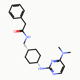 CN(C)c1ccnc(N[C@H]2CC[C@@H](CNC(=O)Cc3ccccc3)CC2)n1